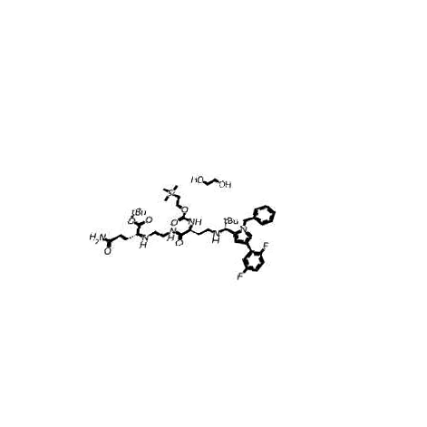 CC(C)(C)OC(=O)[C@@H](CCC(N)=O)NCCNC(=O)[C@H](CCN[C@@H](c1cc(-c2cc(F)ccc2F)cn1Cc1ccccc1)C(C)(C)C)NC(=O)OCC[Si](C)(C)C.OCCO